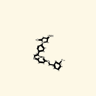 N=C1CC(=O)N(c2ccc(-c3cnc4ccc(OCc5cccc(F)c5)nn34)cc2)C1